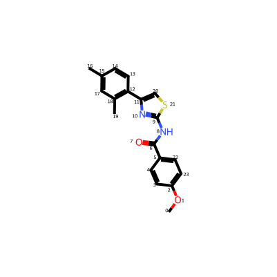 COc1ccc(C(=O)Nc2nc(-c3ccc(C)cc3C)cs2)cc1